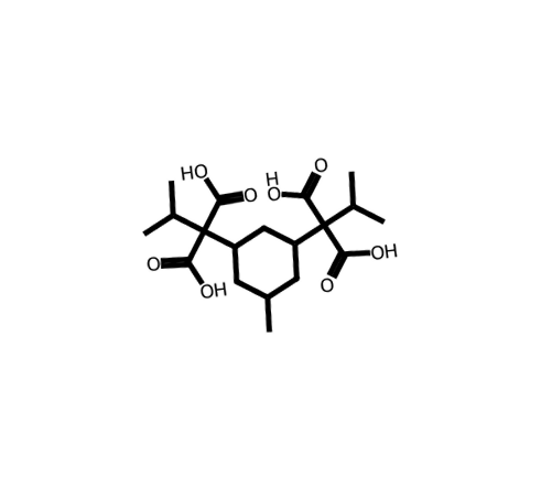 CC1CC(C(C(=O)O)(C(=O)O)C(C)C)CC(C(C(=O)O)(C(=O)O)C(C)C)C1